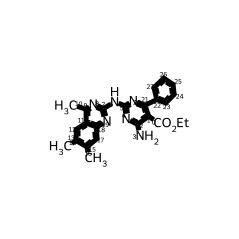 CCOC(=O)c1c(N)nc(Nc2nc(C)c3cc(C)c(C)cc3n2)nc1-c1ccccc1